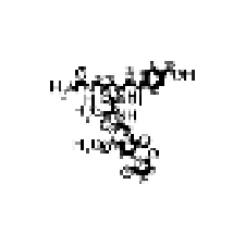 COC[C@@H]1CC(N2C(=O)C=CC2=O)C(=O)N1CC(=O)N[C@H](C(=O)N[C@@H](CCCNC(N)=O)C(=O)Nc1ccc(CO)cc1)C(C)C